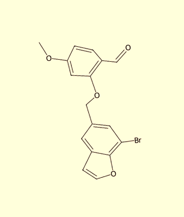 COc1ccc(C=O)c(OCc2cc(Br)c3occc3c2)c1